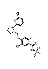 CS(=O)(=O)NC(=O)c1cc(Cl)c(OC[C@H]2CCCN2c2cccc(Cl)n2)cc1F